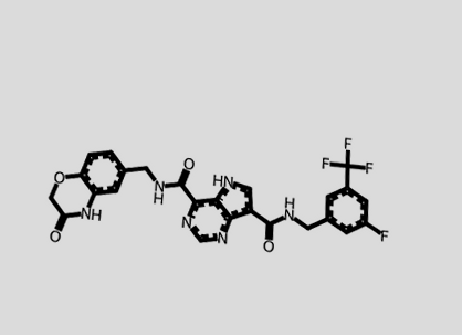 O=C1COc2ccc(CNC(=O)c3ncnc4c(C(=O)NCc5cc(F)cc(C(F)(F)F)c5)c[nH]c34)cc2N1